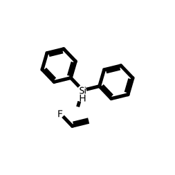 C=CF.C[SiH](c1ccccc1)c1ccccc1